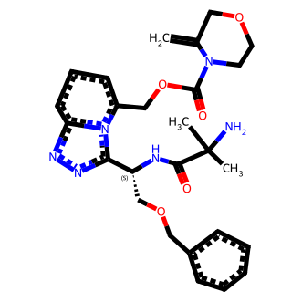 C=C1COCCN1C(=O)OCc1cccc2nnc([C@@H](COCc3ccccc3)NC(=O)C(C)(C)N)n12